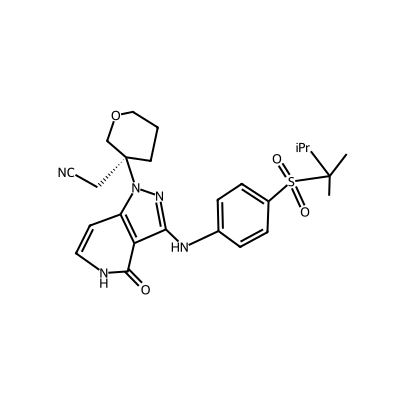 CC(C)C(C)(C)S(=O)(=O)c1ccc(Nc2nn([C@]3(CC#N)CCCOC3)c3cc[nH]c(=O)c23)cc1